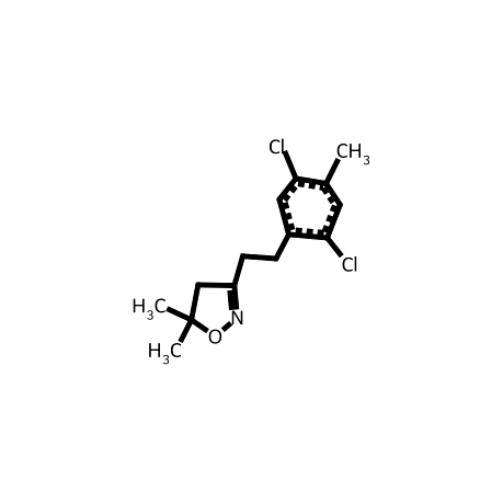 Cc1cc(Cl)c(CCC2=NOC(C)(C)C2)cc1Cl